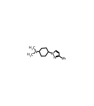 CC(C)c1ccn(C2CCC(N(C)C)CC2)n1